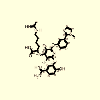 CC(=N)NCCCCC(Nc1c(F)c(Oc2cccc(-c3nccn3C)c2)nc(Oc2cc(C(=N)N)ccc2O)c1F)C(=O)O